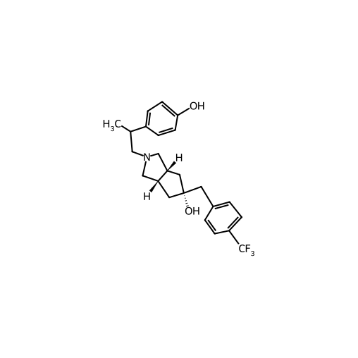 CC(CN1C[C@@H]2C[C@@](O)(Cc3ccc(C(F)(F)F)cc3)C[C@@H]2C1)c1ccc(O)cc1